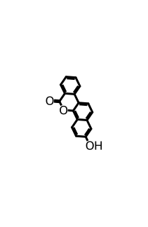 O=c1oc2c3ccc(O)cc3ccc2c2ccccc12